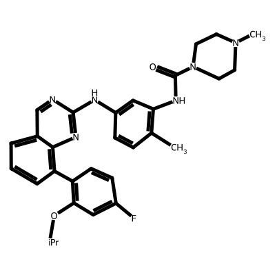 Cc1ccc(Nc2ncc3cccc(-c4ccc(F)cc4OC(C)C)c3n2)cc1NC(=O)N1CCN(C)CC1